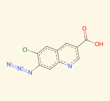 [N-]=[N+]=Nc1cc2ncc(C(=O)O)cc2cc1Cl